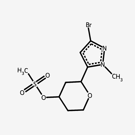 Cn1nc(Br)cc1C1CC(OS(C)(=O)=O)CCO1